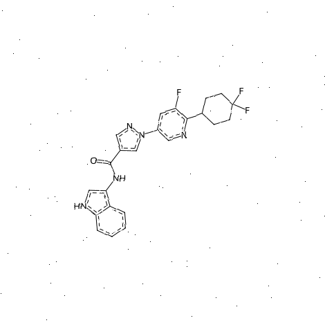 O=C(Nc1c[nH]c2ccccc12)c1cnn(-c2cnc(C3CCC(F)(F)CC3)c(F)c2)c1